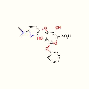 CN(C)c1ccc(O[C@@H]2[C@@H](O)[C@H](Oc3ccccc3)OC(S(=O)(=O)O)[C@H]2O)cn1